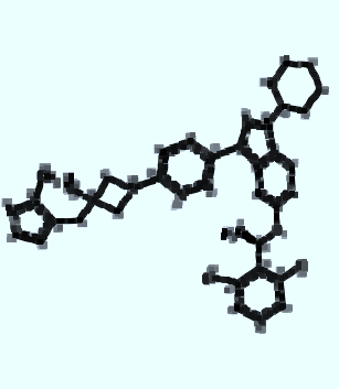 C[C@@H](Oc1ccc2c(c1)c(-c1ccc(N3CC(N)(Cc4ccnn4C)C3)nn1)nn2C1CCCCO1)c1c(Cl)cncc1Cl